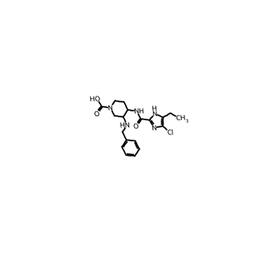 CCc1[nH]c(C(=O)NC2CCN(C(=O)O)CC2NCc2ccccc2)nc1Cl